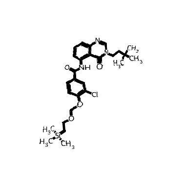 CC(C)(C)CCn1cnc2cccc(NC(=O)c3ccc(OCOCC[Si](C)(C)C)c(Cl)c3)c2c1=O